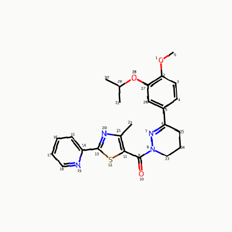 COc1ccc(C2=NN(C(=O)c3sc(-c4ccccn4)nc3C)CCC2)cc1OC(C)C